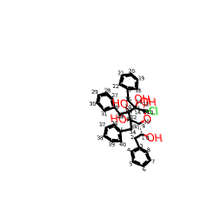 OC(Cc1ccccc1)[C@H]1O[C@](O)(Cl)[C@@](O)(Cc2ccccc2)[C@](O)(Cc2ccccc2)[C@@]1(O)Cc1ccccc1